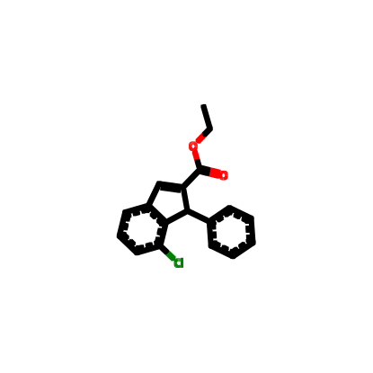 CCOC(=O)C1=Cc2cccc(Cl)c2C1c1ccccc1